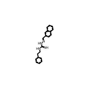 N=C(NCCc1ccccc1)N/N=C/c1ccc2ccccc2c1